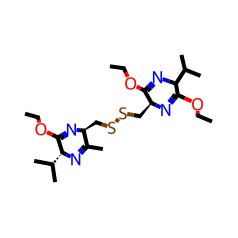 CCOC1=N[C@@H](CSSC[C@@H]2N=C(OCC)[C@@H](C(C)C)N=C2C)C(OCC)=NC1C(C)C